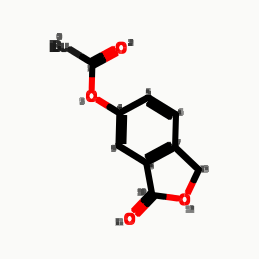 CCC(C)C(=O)Oc1ccc2c(c1)C(=O)OC2